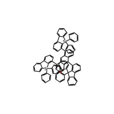 c1ccc(C2(c3ccccc3)c3ccccc3-c3cccc(-c4c5cccc(-c6cccc7c6[Si](c6ccccc6)(c6ccccc6)c6ccccc6-7)c5cc5c(-c6cccc7c6[Si](c6ccccc6)(c6ccccc6)c6ccccc6-7)cccc45)c32)cc1